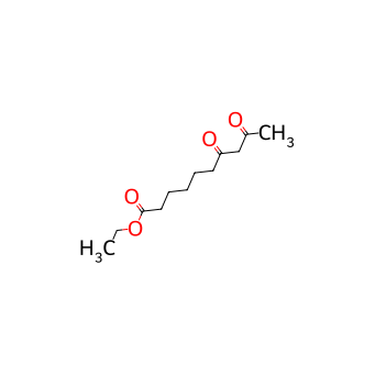 CCOC(=O)CCCCCC(=O)CC(C)=O